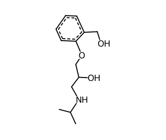 CC(C)NCC(O)COc1ccccc1CO